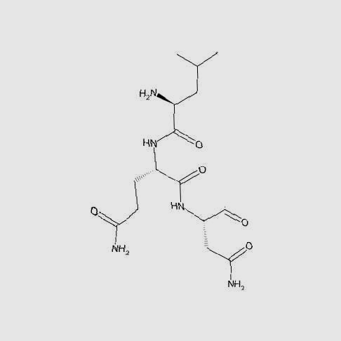 CC(C)C[C@H](N)C(=O)N[C@@H](CCC(N)=O)C(=O)N[C@H]([C]=O)CC(N)=O